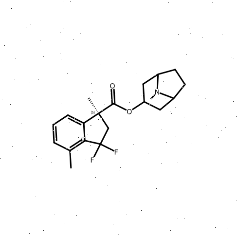 Cc1cccc([C@](C)(CC(F)(F)F)C(=O)OC2CC3CCC(C2)N3C)c1